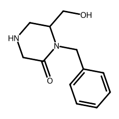 O=C1CNCC(CO)N1Cc1ccccc1